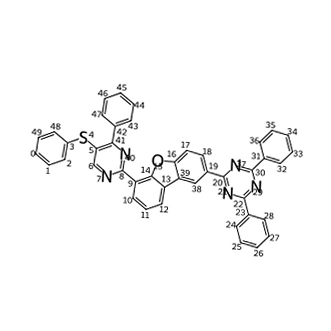 c1ccc(Sc2cnc(-c3cccc4c3oc3ccc(-c5nc(-c6ccccc6)nc(-c6ccccc6)n5)cc34)nc2-c2ccccc2)cc1